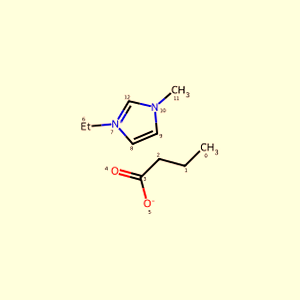 CCCC(=O)[O-].CC[n+]1ccn(C)c1